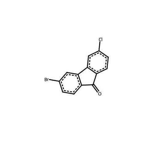 O=C1c2ccc(Cl)cc2-c2cc(Br)ccc21